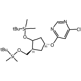 CC(C)(C)[Si](C)(C)OC[C@@H]1C[C@@H](Oc2cc(Cl)ncn2)CC1O[Si](C)(C)C(C)(C)C